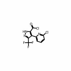 O=C(Cl)c1[nH]nc(C(F)(F)F)c1-c1cccc(Cl)n1